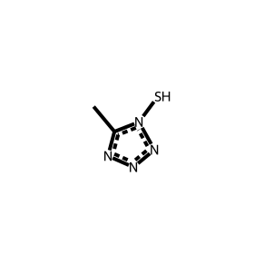 Cc1nnnn1S